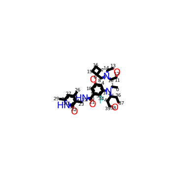 CCN(c1cc(OC2(CN3CCOCC3)CCC2)cc(C(=O)NCc2c(C)cc(C)[nH]c2=O)c1F)C1CCOCC1